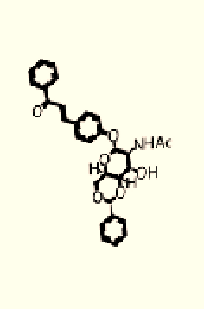 CC(=O)N[C@@H]1[C@H](Oc2ccc(/C=C/C(=O)c3ccccc3)cc2)O[C@@H]2CO[C@H](c3ccccc3)O[C@H]2[C@@H]1O